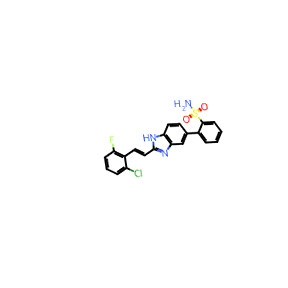 NS(=O)(=O)c1ccccc1-c1ccc2[nH]c(/C=C/c3c(F)cccc3Cl)nc2c1